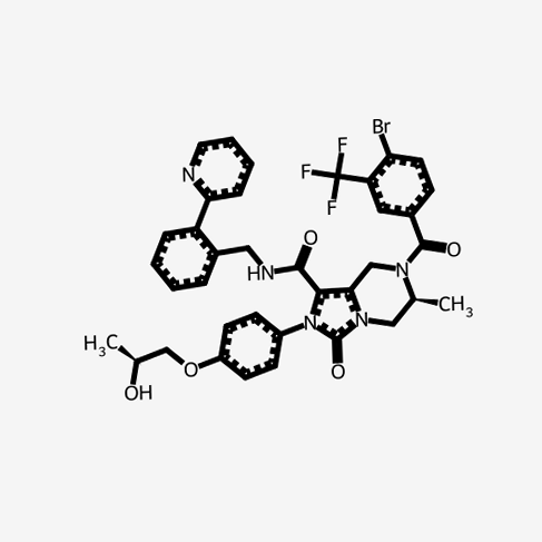 C[C@H](O)COc1ccc(-n2c(C(=O)NCc3ccccc3-c3ccccn3)c3n(c2=O)C[C@H](C)N(C(=O)c2ccc(Br)c(C(F)(F)F)c2)C3)cc1